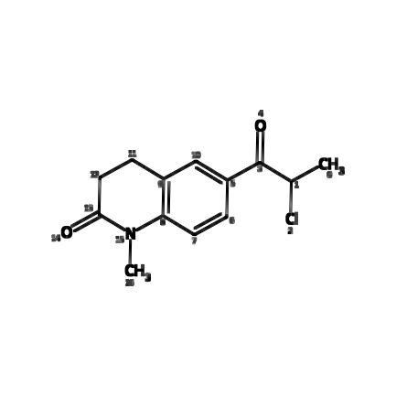 CC(Cl)C(=O)c1ccc2c(c1)CCC(=O)N2C